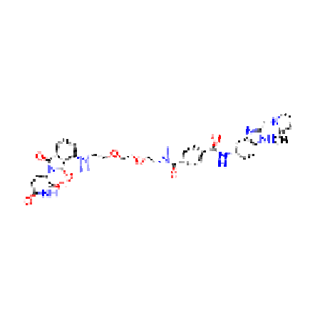 C[C@H]1CCCN1Cc1nc2cc(NC(=O)c3ccc(C(=O)NCCOCCOCCNc4cccc5c4C(=O)N(C4CCC(=O)NC4=O)C5=O)cc3)ccc2[nH]1